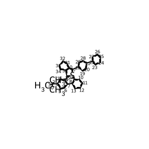 CC(C)(C)c1ccc(-c2ccccc2)c(-c2sc(-c3ccc(-c4ccccc4)cc3)c3ccccc23)c1